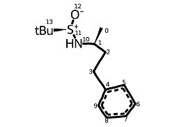 C[C@@H](CCc1ccccc1)N[S@+]([O-])C(C)(C)C